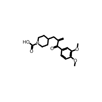 C=C(CC1CCN(C(=O)O)CC1)C(=O)c1ccc(OC)c(OC)c1